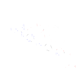 Nc1nc2ncc(CNc3ccc(C(=O)NC(CCC(=O)O)C(=O)O)cc3)nc2c(=O)[nH]1.O=C(O)C(O)C(O)C(O)C(O)CO.[Zn]